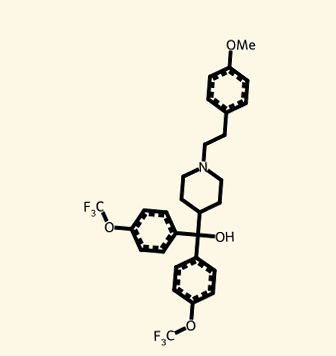 COc1ccc(CCN2CCC(C(O)(c3ccc(OC(F)(F)F)cc3)c3ccc(OC(F)(F)F)cc3)CC2)cc1